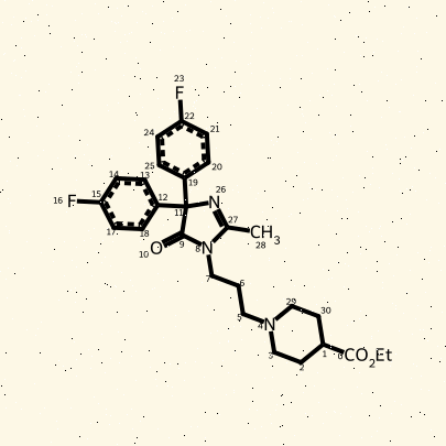 CCOC(=O)C1CCN(CCCN2C(=O)C(c3ccc(F)cc3)(c3ccc(F)cc3)N=C2C)CC1